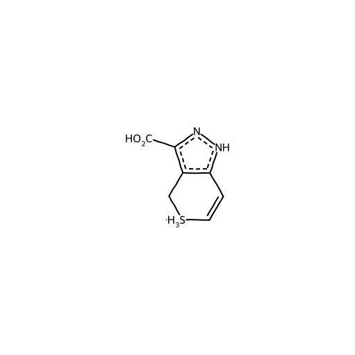 O=C(O)c1n[nH]c2c1C[SH3]C=C2